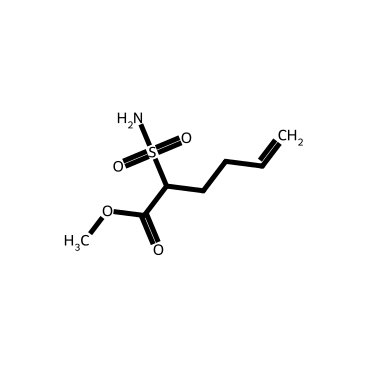 C=CCCC(C(=O)OC)S(N)(=O)=O